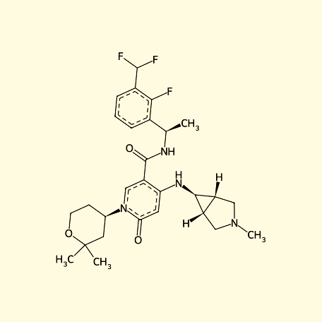 C[C@@H](NC(=O)c1cn([C@@H]2CCOC(C)(C)C2)c(=O)cc1N[C@H]1[C@@H]2CN(C)C[C@@H]21)c1cccc(C(F)F)c1F